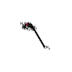 CCCCCCCCCCCCCCCCCCCCCCCC(=O)OC1CC[C@@]2(C)C(CC[C@H]3[C@@H]4CC[C@H]([C@H](C)CC[C@@H](CC)C(C)C)[C@@]4(C)CC[C@@H]32)C1